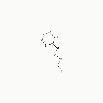 CCCC[CH]C1C=CCCC1